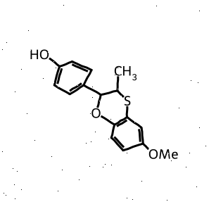 COc1ccc2c(c1)SC(C)C(c1ccc(O)cc1)O2